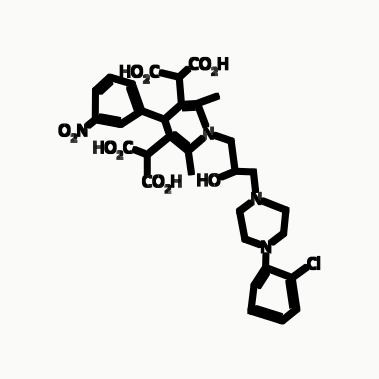 CC1=C(C(C(=O)O)C(=O)O)C(c2cccc([N+](=O)[O-])c2)C(C(C(=O)O)C(=O)O)=C(C)N1CC(O)CN1CCN(c2ccccc2Cl)CC1